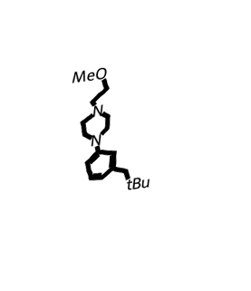 COCCN1CCN(c2cccc(CC(C)(C)C)c2)CC1